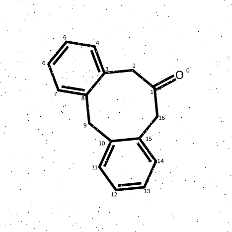 O=C1Cc2ccccc2Cc2ccccc2C1